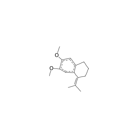 COc1cc2c(cc1OC)C(=C(C)C)CCC2